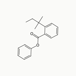 CCC(C)(C)c1ccccc1C(=O)Oc1ccccc1